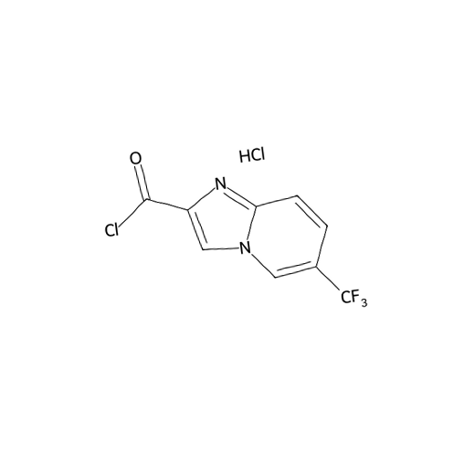 Cl.O=C(Cl)c1cn2cc(C(F)(F)F)ccc2n1